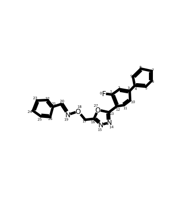 Fc1cc(-c2ccccc2)ccc1-c1nnc(CON=Cc2ccccc2)o1